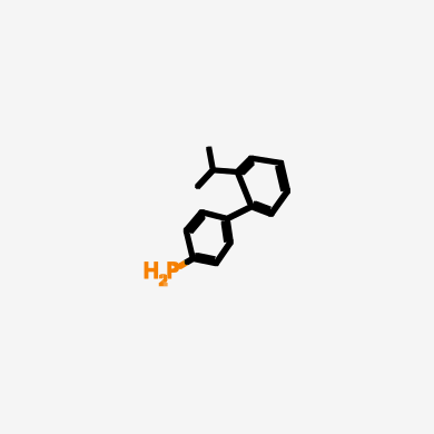 CC(C)c1ccccc1-c1ccc(P)cc1